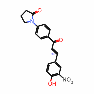 O=C(/C=C/c1ccc(O)c([N+](=O)[O-])c1)c1ccc(N2CCCC2=O)cc1